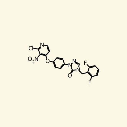 O=c1n(Cc2c(F)cccc2F)cnn1-c1ccc(Oc2ccnc(Cl)c2[N+](=O)[O-])cc1